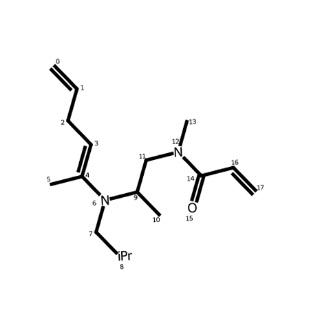 C=CC/C=C(\C)N(CC(C)C)C(C)CN(C)C(=O)C=C